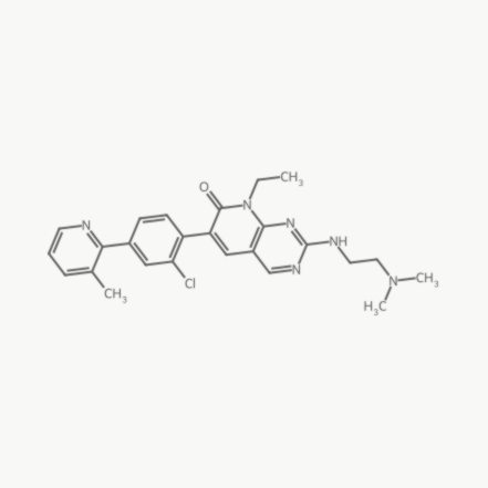 CCn1c(=O)c(-c2ccc(-c3ncccc3C)cc2Cl)cc2cnc(NCCN(C)C)nc21